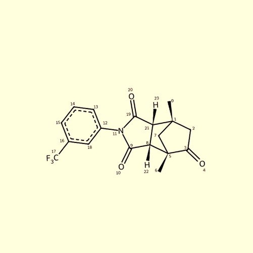 C[C@@]12CC(=O)[C@@](C)(C1)[C@@H]1C(=O)N(c3cccc(C(F)(F)F)c3)C(=O)[C@@H]12